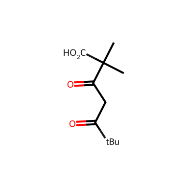 CC(C)(C)C(=O)CC(=O)C(C)(C)C(=O)O